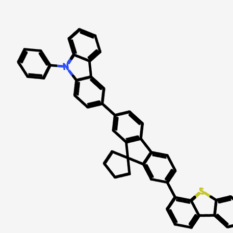 c1ccc(-n2c3ccccc3c3cc(-c4ccc5c(c4)C4(CCCC4)c4cc(-c6cccc7c6sc6ccccc67)ccc4-5)ccc32)cc1